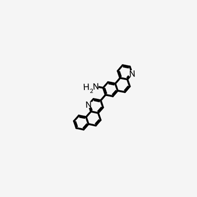 Nc1cc2c(ccc3ncccc32)cc1-c1cnc2c(ccc3ccccc32)c1